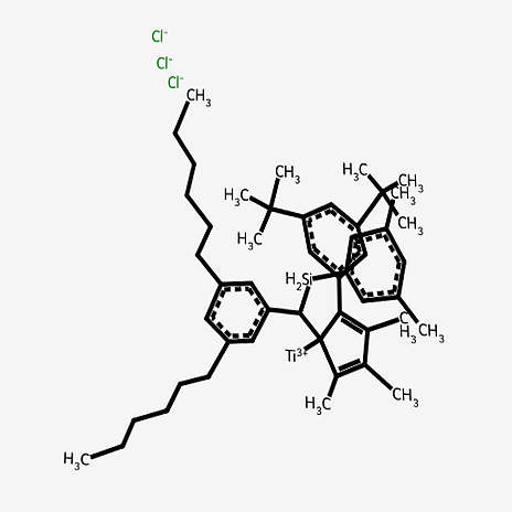 CCCCCCc1cc(CCCCCC)cc(C([SiH2]c2cc(C)cc(C)c2)[C]2([Ti+3])C(C)=C(C)C(C)=C2c2cc(C(C)(C)C)cc(C(C)(C)C)c2)c1.[Cl-].[Cl-].[Cl-]